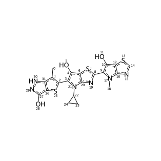 Cc1c(-c2c(O)c3sc(-c4c(O)c5scnc5n4C)nc3n2C2CC2)sc2c(O)n[nH]c12